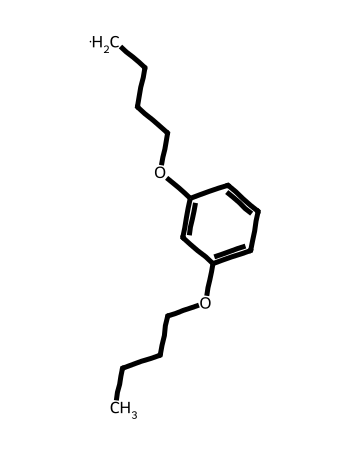 [CH2]CCCOc1cccc(OCCCC)c1